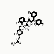 COC(=O)N(C(=O)[C@@H](N)[C@@H](c1ccc(F)cc1)c1cccc(F)c1)c1cccc(F)c1OC[C@@H]1CN[C@H](COC(N)=O)CO1